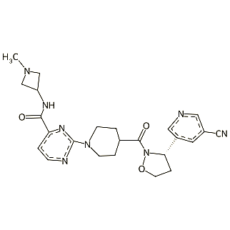 CN1CC(NC(=O)c2ccnc(N3CCC(C(=O)N4OCC[C@H]4c4cncc(C#N)c4)CC3)n2)C1